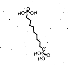 O=P(O)(O)CCCCCCCCCOP(=O)(O)O